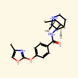 Cc1coc(Oc2ccc(C(=O)N[C@@H]3C4CCN(CC4)[C@H]3C)cc2)n1